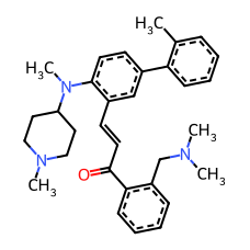 Cc1ccccc1-c1ccc(N(C)C2CCN(C)CC2)c(C=CC(=O)c2ccccc2CN(C)C)c1